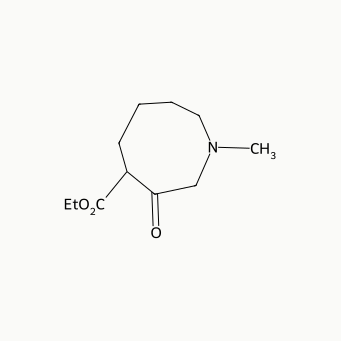 CCOC(=O)C1CCCCN(C)CC1=O